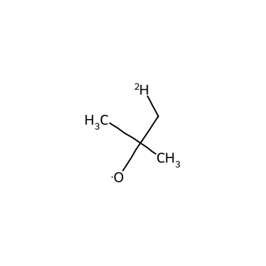 [2H]CC(C)(C)[O]